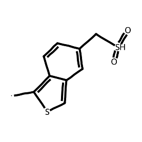 [CH2]c1scc2cc(C[SH](=O)=O)ccc12